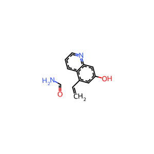 C=Cc1cc(O)cc2ncccc12.NC=O